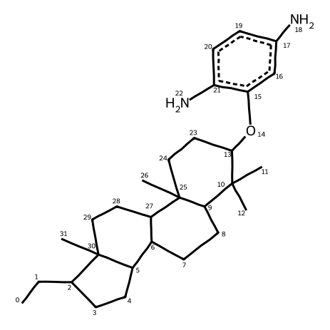 CCC1CCC2C3CCC4C(C)(C)C(Oc5cc(N)ccc5N)CCC4(C)C3CCC12C